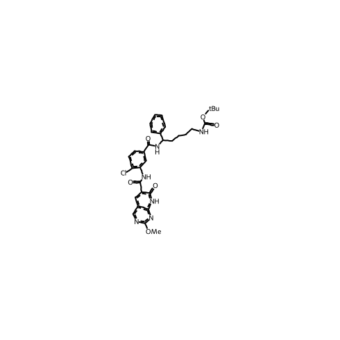 COc1ncc2cc(C(=O)Nc3cc(C(=O)NC(CCCCNC(=O)OC(C)(C)C)c4ccccc4)ccc3Cl)c(=O)[nH]c2n1